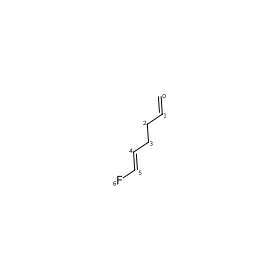 C=CCCC=CF